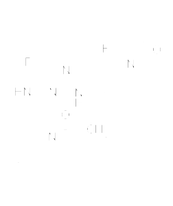 C=CC(=O)N1CCC2(CC2)c2ccc(Nc3nc(Nc4ccc(N5CCOCC5)c(F)c4)ncc3F)cc21